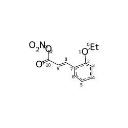 CCOc1ccccc1C=CC(=O)O[N+](=O)[O-]